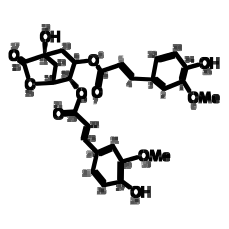 COc1cc(/C=C/C(=O)OC2C[C@]3(O)CC(OC3=O)[C@@H]2OC(=O)/C=C/c2ccc(O)c(OC)c2)ccc1O